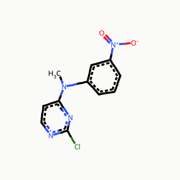 CN(c1cccc([N+](=O)[O-])c1)c1ccnc(Cl)n1